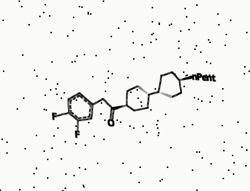 CCCCC[C@H]1CC[C@H]([C@H]2CC[C@H](C(=O)Cc3ccc(F)c(F)c3)CC2)CC1